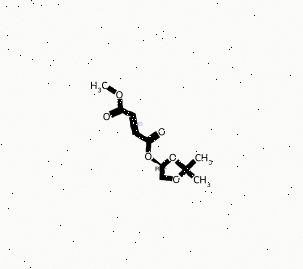 COC(=O)/C=C/C(=O)O[C@@H]1COC(C)(C)O1